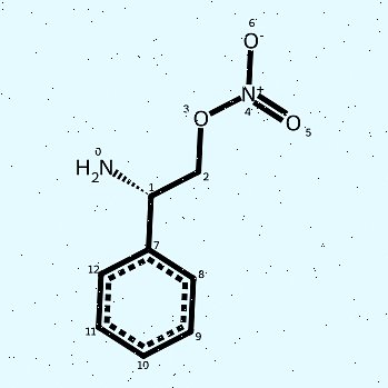 N[C@H](CO[N+](=O)[O-])c1ccccc1